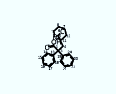 O=C(O)C(CC1CC2CCN1CC2)(c1ccccc1)c1ccccc1